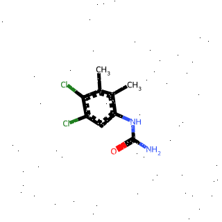 Cc1c(NC(N)=O)cc(Cl)c(Cl)c1C